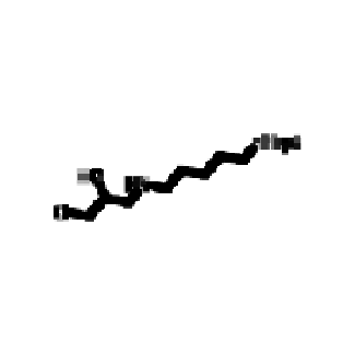 CCCCCCCCCCCCNCC(O)CCl